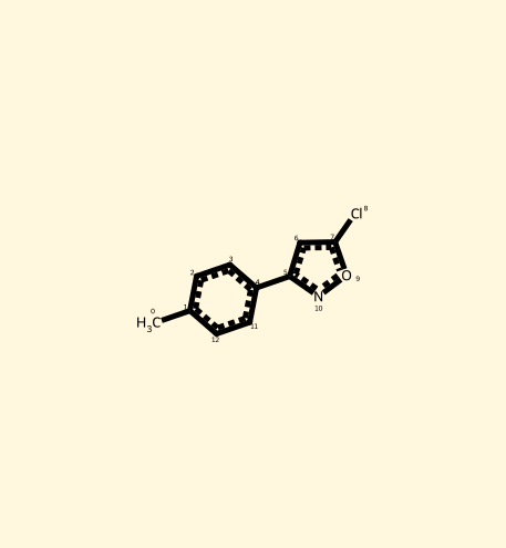 Cc1ccc(-c2cc(Cl)on2)cc1